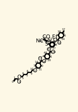 C=CC(=O)OCCCCCCOC1CCC(C(=O)OC2CCC(C(=O)Oc3ccc(OC(=O)C4CCC(C)CC4)c4c3S/C(=C(\C#N)C(=O)OCC)S4)CC2)CC1